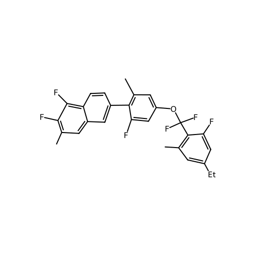 CCc1cc(C)c(C(F)(F)Oc2cc(C)c(-c3ccc4c(F)c(F)c(C)cc4c3)c(F)c2)c(F)c1